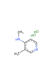 CNc1ccncc1C.Cl.Cl